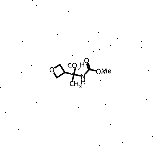 COC(=O)NC(C)(C(=O)O)C1COC1